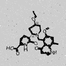 CCO[C@H]1CCN(Cc2c(OC)cc(C)c3[nH]ccc(=O)c23)[C@H](c2ccc(C(=O)O)[nH]c2=O)C1